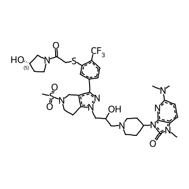 CN(C)c1ccc2c(n1)n(C1CCN(CC(O)Cn3nc(-c4ccc(C(F)(F)F)c(SCC(=O)N5CC[C@H](O)C5)c4)c4c3CCN(S(C)(=O)=O)C4)CC1)c(=O)n2C